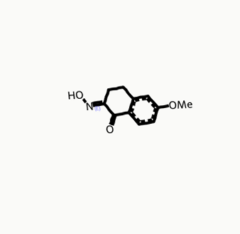 COc1ccc2c(c1)CC/C(=N\O)C2=O